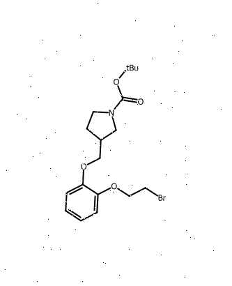 CC(C)(C)OC(=O)N1CCC(COc2ccccc2OCCBr)C1